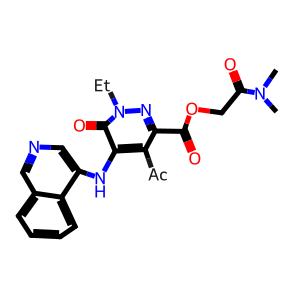 CCn1nc(C(=O)OCC(=O)N(C)C)c(C(C)=O)c(Nc2cncc3ccccc23)c1=O